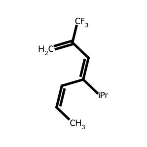 C=C(/C=C(\C=C/C)C(C)C)C(F)(F)F